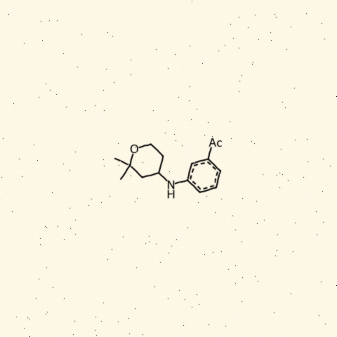 CC(=O)c1cccc(NC2CCOC(C)(C)C2)c1